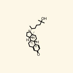 CC(CCCC(C)(C)O)[C@H]1CC[C@H]2[C@@H]3CCC4=CC(=O)C=C[C@]4(C)[C@H]3CC[C@]12C